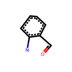 [N]c1ccccc1C=O